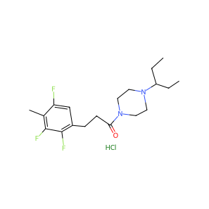 CCC(CC)N1CCN(C(=O)CCc2cc(F)c(C)c(F)c2F)CC1.Cl